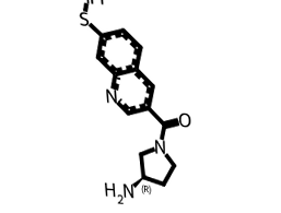 CC(C)Sc1ccc2cc(C(=O)N3CC[C@@H](N)C3)cnc2c1